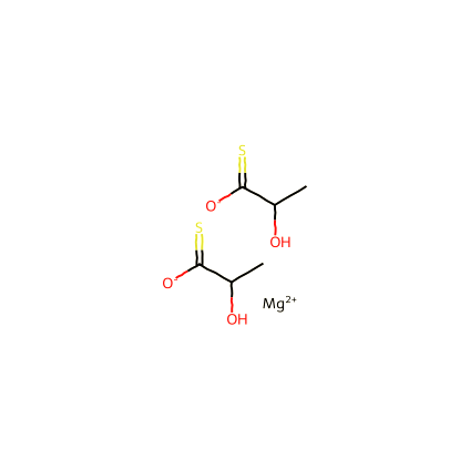 CC(O)C([O-])=S.CC(O)C([O-])=S.[Mg+2]